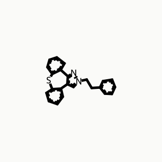 c1ccc(CCn2cc3c(n2)-c2ccccc2Sc2ccccc2-3)cc1